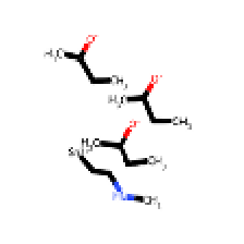 CCC(C)[O-].CCC(C)[O-].CCC(C)[O-].CNC[CH2][Sn+3]